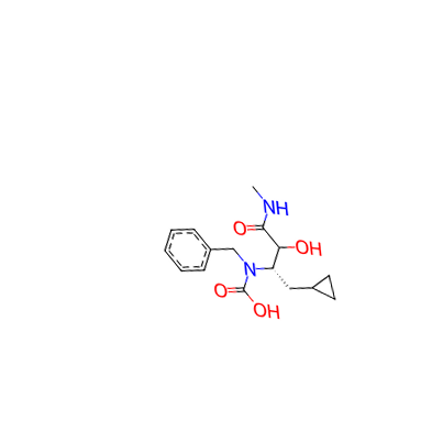 CNC(=O)C(O)[C@H](CC1CC1)N(Cc1ccccc1)C(=O)O